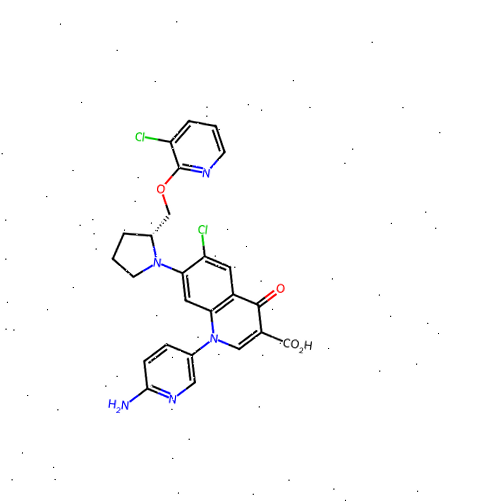 Nc1ccc(-n2cc(C(=O)O)c(=O)c3cc(Cl)c(N4CCC[C@@H]4COc4ncccc4Cl)cc32)cn1